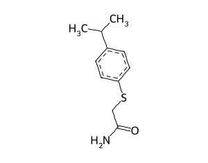 CC(C)c1ccc(SCC(N)=O)cc1